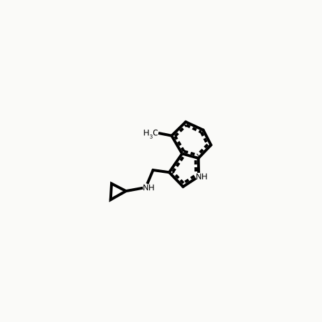 Cc1cccc2[nH]cc(CNC3CC3)c12